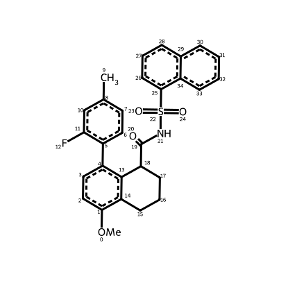 COc1ccc(-c2ccc(C)cc2F)c2c1CCCC2C(=O)NS(=O)(=O)c1cccc2ccccc12